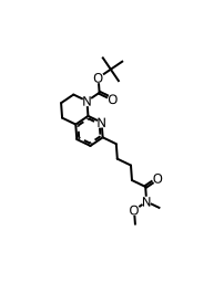 CON(C)C(=O)CCCCc1ccc2c(n1)N(C(=O)OC(C)(C)C)CCC2